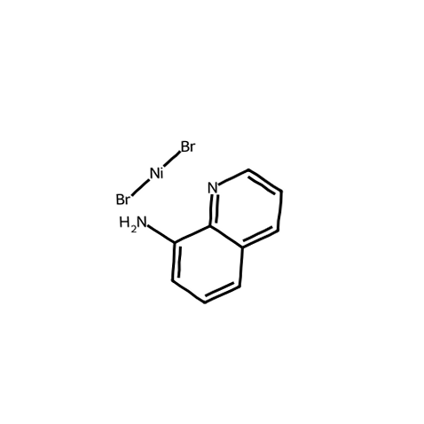 Nc1cccc2cccnc12.[Br][Ni][Br]